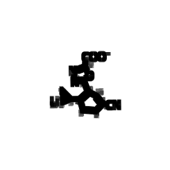 N#Cc1ccc(C2CC2)c(-c2nnc(C(=O)[O-])o2)c1.[Li+]